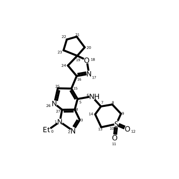 CCn1ncc2c(NC3CCS(=O)(=O)CC3)c(C3=NOC4(CCCC4)C3)cnc21